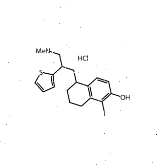 CNCC(CC1CCCc2c1ccc(O)c2I)c1cccs1.Cl